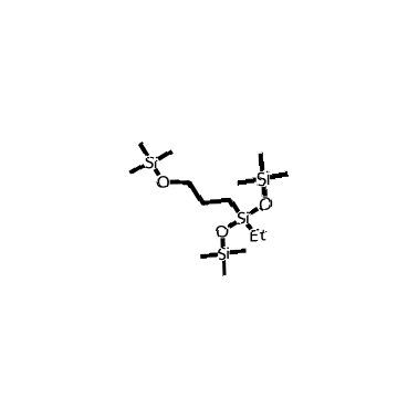 CC[Si](CCCO[Si](C)(C)C)(O[Si](C)(C)C)O[Si](C)(C)C